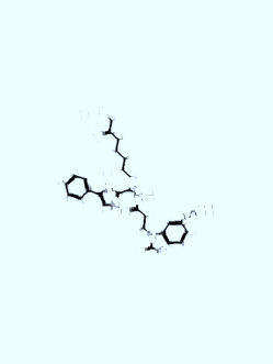 CCC(=O)CCCCC[C@H](NC(=O)CCn1c(=O)oc2ccc(OC)cc21)c1ncc(-c2ccccc2)[nH]1